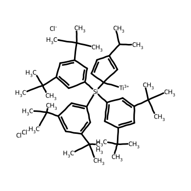 CC(C)C1=C[C]([Ti+3])([Si](c2cc(C(C)(C)C)cc(C(C)(C)C)c2)(c2cc(C(C)(C)C)cc(C(C)(C)C)c2)c2cc(C(C)(C)C)cc(C(C)(C)C)c2)C=C1.[Cl-].[Cl-].[Cl-]